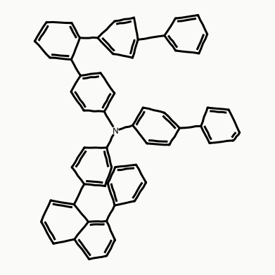 c1ccc(-c2ccc(-c3ccccc3-c3ccc(N(c4ccc(-c5ccccc5)cc4)c4ccc(-c5cccc6cccc(-c7ccccc7)c56)cc4)cc3)cc2)cc1